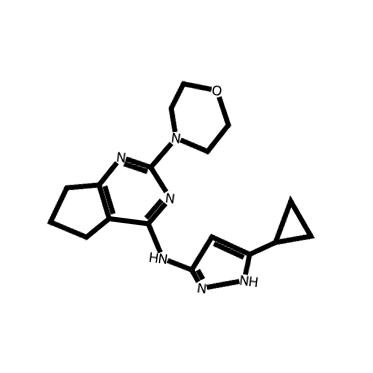 c1c(Nc2nc(N3CCOCC3)nc3c2CCC3)n[nH]c1C1CC1